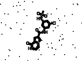 CS(=O)(=O)Nc1cc(Cl)cc(NC(=O)c2cc3c(=O)[nH]ccn3c2)c1